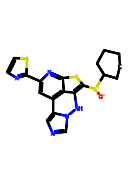 [O-][S+](c1sc2nc(-c3nccs3)cc3c2c1[nH]n1cncc31)C1CCCCC1